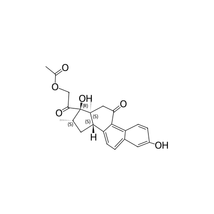 CC(=O)OCC(=O)[C@@]1(O)[C@@H](C)C[C@H]2c3ccc4cc(O)ccc4c3C(=O)C[C@@]21C